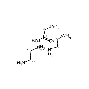 NCC(=O)O.NCCN.NCCN